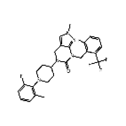 Cc1cccc(F)c1N1CCC(N2Cc3cn(C)nc3N(Cc3c(F)cccc3C(F)(F)F)C2=O)CC1